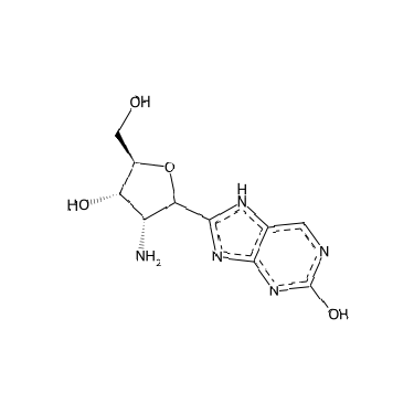 N[C@H]1C(c2nc3nc(O)ncc3[nH]2)O[C@H](CO)[C@H]1O